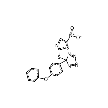 O=[N+]([O-])c1cnc(SC2(c3ccc(Oc4ccccc4)cc3)N=NN=N2)s1